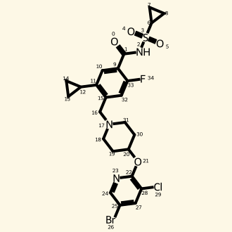 O=C(NS(=O)(=O)C1CC1)c1cc(C2CC2)c(CN2CCC(Oc3ncc(Br)cc3Cl)CC2)cc1F